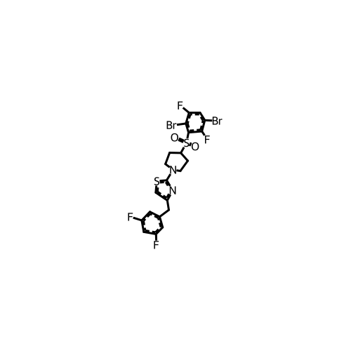 O=S(=O)(c1c(F)c(Br)cc(F)c1Br)C1CCN(c2nc(Cc3cc(F)cc(F)c3)cs2)CC1